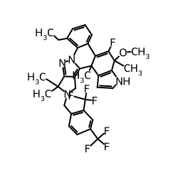 CCc1cccc2c1-n1nc3c(c1C1(C)C2=C(F)C(C)(OC)c2[nH]ccc21)CN(Cc1ccc(C(F)(F)F)cc1C(F)(F)F)C3(C)C